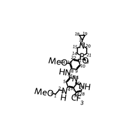 COCCNc1cc(Nc2ccc(P3(=O)CCN(C4CC4)CC3)cc2OC)nc2[nH]cc(C(F)(F)F)c12